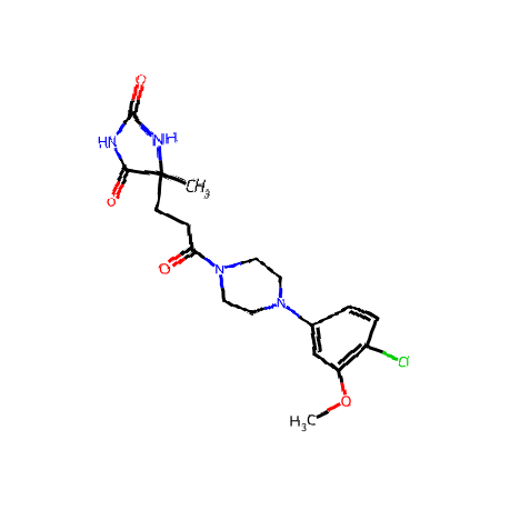 COc1cc(N2CCN(C(=O)CCC3(C)NC(=O)NC3=O)CC2)ccc1Cl